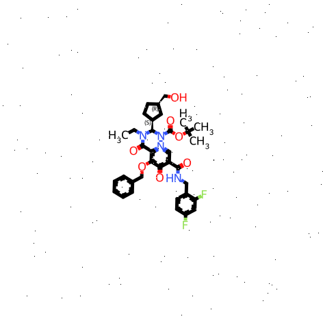 CCN1C(=O)c2c(OCc3ccccc3)c(=O)c(C(=O)NCc3ccc(F)cc3F)cn2N(C(=O)OC(C)(C)C)C1[C@H]1CC[C@@H](CO)C1